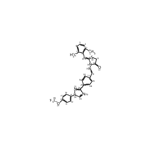 Cc1cccc(C)c1N=C1SCC(=O)N1N=Cc1ccc(-c2ncn(-c3ccc(OC(F)(F)F)cc3)n2)cc1